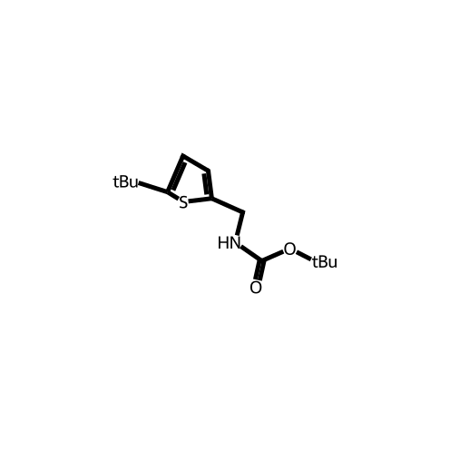 CC(C)(C)OC(=O)NCc1ccc(C(C)(C)C)s1